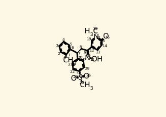 Cc1ccccc1[C@@H](CC(=NO)c1ccc(=O)n(C)c1)c1ccc(S(C)(=O)=O)cc1